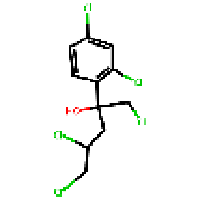 OC(CCl)(CC(Cl)CCl)c1ccc(Cl)cc1Cl